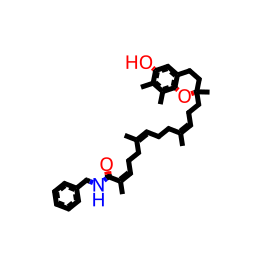 CC(=CCCC(C)=CCCC1(C)CCc2cc(O)c(C)c(C)c2O1)CCC=C(C)C(=O)NCc1ccccc1